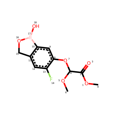 COC(=O)C(OC)Oc1cc2c(cc1F)COB2O